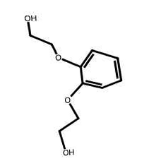 OCCOc1ccccc1OCCO